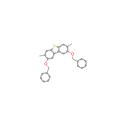 Cc1cc2sc3cc(C)c(OCc4ccccc4)cc3c2cc1OCc1ccccc1